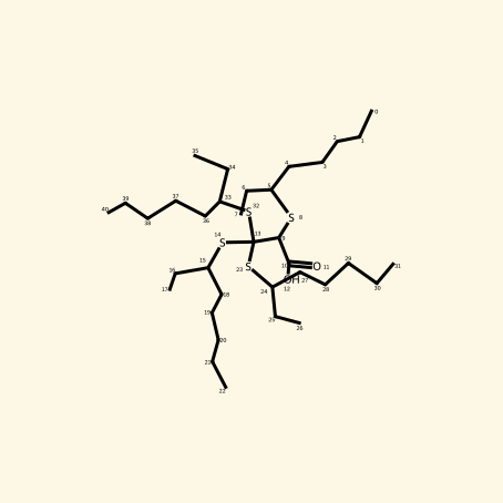 CCCCCC(CC)SC(C(=O)O)C(SC(CC)CCCCC)(SC(CC)CCCCC)SC(CC)CCCCC